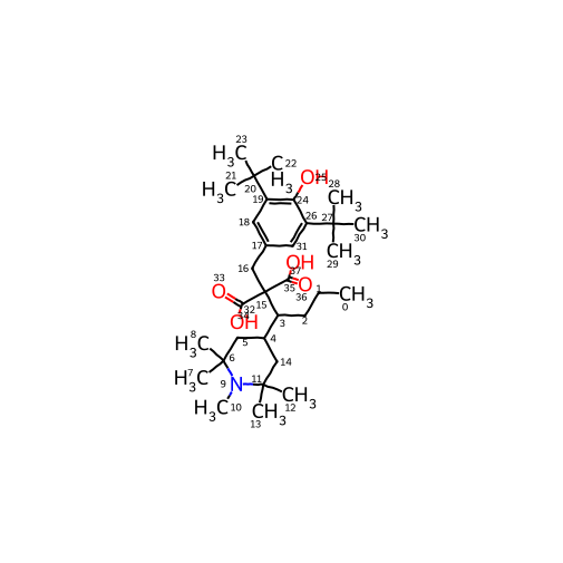 CCCC(C1CC(C)(C)N(C)C(C)(C)C1)C(Cc1cc(C(C)(C)C)c(O)c(C(C)(C)C)c1)(C(=O)O)C(=O)O